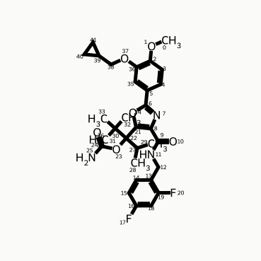 COc1ccc(-c2nc(C(=O)NCc3ccc(F)cc3F)c(C(OC(N)=O)(C(C)C)C(C)(C)C)o2)cc1OCC1CC1